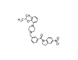 CC(C)Oc1ccccc1N1CCN(Cc2cccc(C(=O)N3CCc4cc([N+](=O)[O-])ccc43)c2)CC1